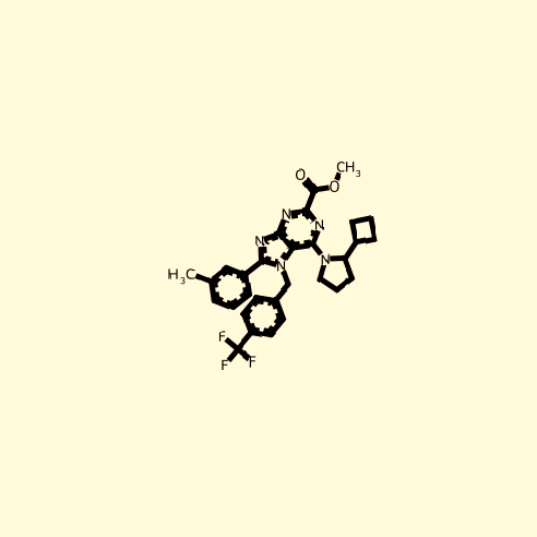 COC(=O)c1nc(N2CCCC2C2CCC2)c2c(n1)nc(-c1cccc(C)c1)n2Cc1ccc(C(F)(F)F)cc1